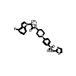 C[C@@H](C(=O)NC1CCN(c2ccc(S(=O)(=O)Nc3nccs3)cc2)CC1)n1ccc2c(F)cccc21